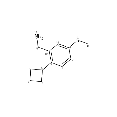 CSc1ccc(C2CCC2)c(CN)c1